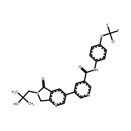 CC(C)(O)CN1Cc2ncc(-c3cncc(C(=O)Nc4ccc(OC(F)(F)Cl)cc4)c3)cc2C1=O